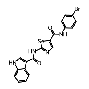 O=C(Nc1ccc(Br)cc1)c1cnc(NC(=O)c2c[nH]c3ccccc23)[se]1